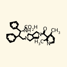 Cc1ccnc(C)c1C(=O)N1C=C2CN(CC(c3ccccc3)[C@H](NC(=O)O)c3ccccc3)CC2C1